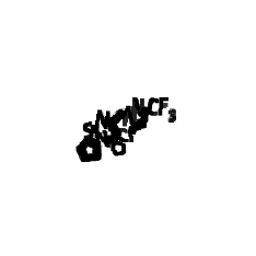 O=c1cc(Cn2nc(C(F)(F)F)cc2Cl)nc2sc3c(n12)CCC3